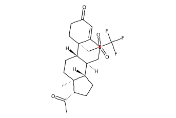 CC(=O)[C@H]1CC[C@H]2[C@@H]3CCC4=CC(=O)CC[C@]4(CS(=O)(=O)C(F)(F)F)[C@H]3CC[C@]12C